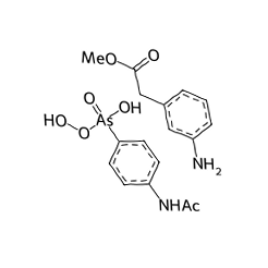 CC(=O)Nc1ccc([As](=O)(O)OO)cc1.COC(=O)Cc1cccc(N)c1